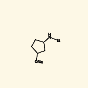 CCNC1CCC(OC)C1